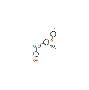 Cc1ccc(Sc2ccc(/C=C/C(=O)c3ccc(O)cc3)cc2[N+](=O)[O-])cc1